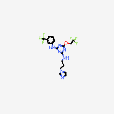 FC(F)(F)COc1nc(NCCCn2ccnc2)nc(Nc2cccc(C(F)(F)F)c2)n1